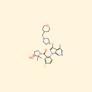 Cc1cncc2c1c(C[C@@H]1CCN(CC3CCOCC3)C1)cn2-c1ccc(F)cc1C(=O)N1CC[C@H](O)C1(C)C